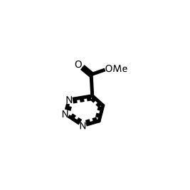 COC(=O)c1ccnnn1